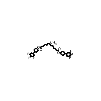 CC(CCCCCC(=O)OC1CCC(c2cc(F)c(F)c(F)c2)CC1)CCCCCC(=O)OC1CCC(c2cc(F)c(F)c(F)c2)CC1